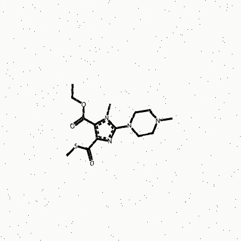 CCOC(=O)c1c(C(=O)SC)nc(N2CCN(C)CC2)n1C